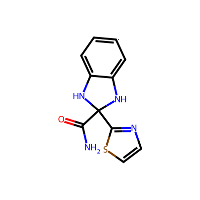 NC(=O)C1(c2nccs2)Nc2c[c]ccc2N1